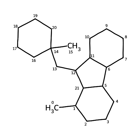 CC1CCCC2C3CCCCC3C(CC3(C)CCCCC3)C12